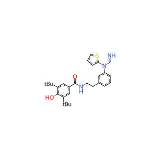 CC(C)(C)c1cc(C(=O)NCCc2cccc(N(C=N)c3cccs3)c2)cc(C(C)(C)C)c1O